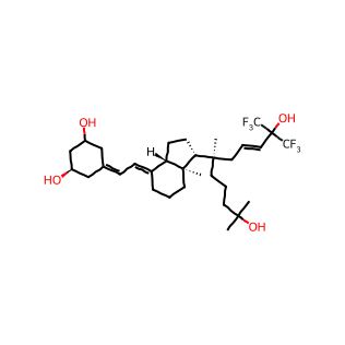 CC(C)(O)CCC[C@](C)(C/C=C/C(O)(C(F)(F)F)C(F)(F)F)[C@H]1CC[C@H]2/C(=C/C=C3\CC(O)C[C@H](O)C3)CCC[C@]12C